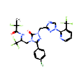 CC(F)(F)C(=O)NC(Cn1c(-c2ccc(Cl)cc2)nn(Cc2ncn(-c3ncccc3C(F)(F)F)n2)c1=O)C(F)(F)F